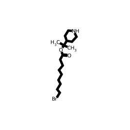 CC(C)(OC(=O)CCCCCCCCBr)C1CCNCC1